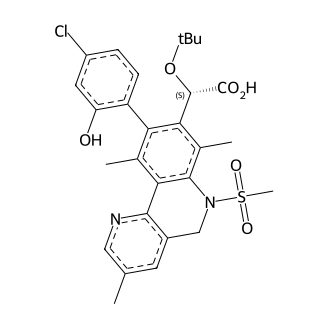 Cc1cnc2c(c1)CN(S(C)(=O)=O)c1c(C)c([C@H](OC(C)(C)C)C(=O)O)c(-c3ccc(Cl)cc3O)c(C)c1-2